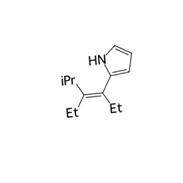 CC/C(=C(\CC)C(C)C)c1ccc[nH]1